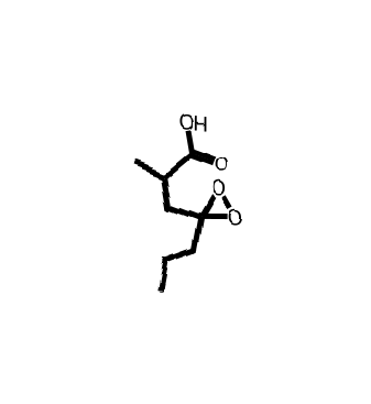 CCCC1(CC(C)C(=O)O)OO1